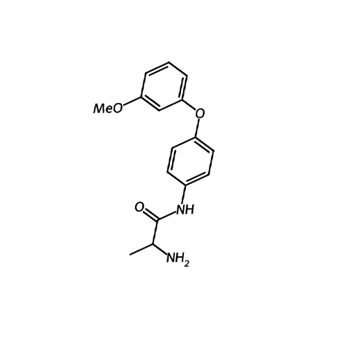 COc1cccc(Oc2ccc(NC(=O)C(C)N)cc2)c1